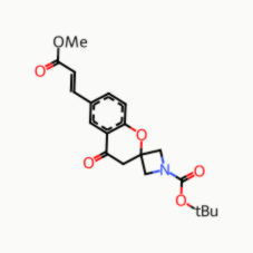 COC(=O)/C=C/c1ccc2c(c1)C(=O)CC1(CN(C(=O)OC(C)(C)C)C1)O2